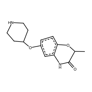 CC1Oc2ccc(OC3CCNCC3)cc2NC1=O